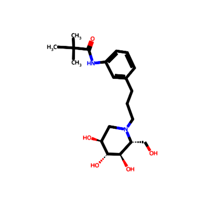 CC(C)(C)C(=O)Nc1cccc(CCCN2C[C@H](O)[C@@H](O)[C@H](O)[C@H]2CO)c1